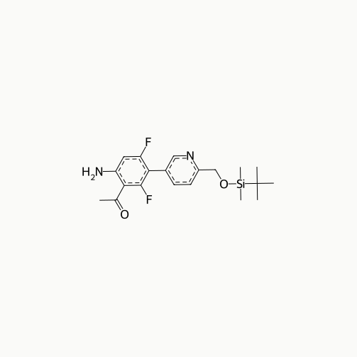 CC(=O)c1c(N)cc(F)c(-c2ccc(CO[Si](C)(C)C(C)(C)C)nc2)c1F